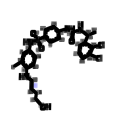 Cc1cc(NS(=O)(=O)c2ccc(NC(=O)N[C@@H](C)c3cccc(Cl)c3Cl)cc2)ccc1N/C=C/CCO